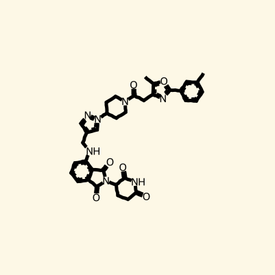 Cc1cccc(-c2nc(CC(=O)N3CCC(n4cc(CNc5cccc6c5C(=O)N(C5CCC(=O)NC5=O)C6=O)cn4)CC3)c(C)o2)c1